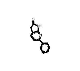 O=C1Cc2ccc(-c3ccccc3)nc2N1